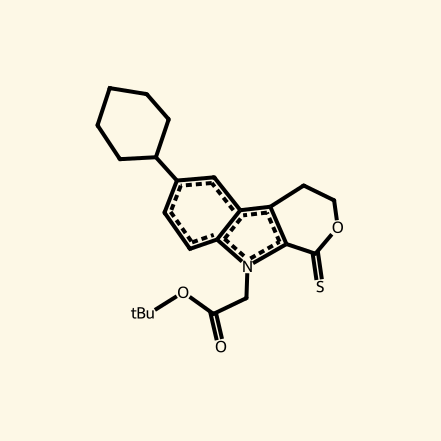 CC(C)(C)OC(=O)Cn1c2c(c3cc(C4CCCCC4)ccc31)CCOC2=S